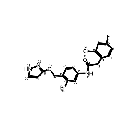 O=C(Cc1ccc(F)cc1Cl)Nc1ccc(COc2cc[nH]n2)c(Br)c1